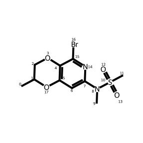 CC1COc2c(cc(N(C)S(C)(=O)=O)nc2Br)O1